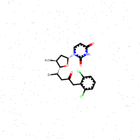 CCC(CC(=O)Cc1c(Cl)cccc1Cl)[C@H]1O[C@@H](n2ccc(=O)[nH]c2=O)C[C@@H]1OC(C)=O